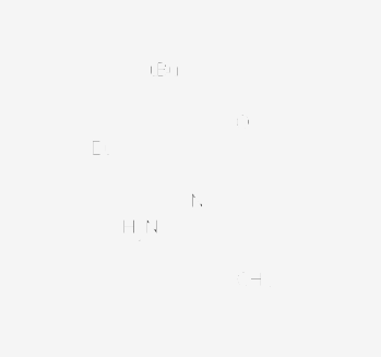 CC/C(=C1/OCCC(C)N1N)C(C)(C)C